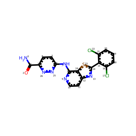 NC(=O)c1ccc(Nc2nccc3nc(-c4c(Cl)cccc4Cl)sc23)nn1